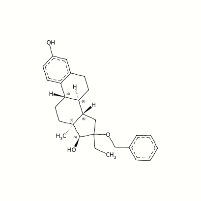 CCC1(OCc2ccccc2)C[C@H]2[C@@H]3CCc4cc(O)ccc4[C@H]3CC[C@]2(C)[C@@H]1O